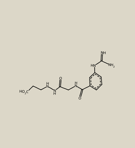 N=C(N)Nc1cccc(C(=O)NCC(=O)NNCCC(=O)O)c1